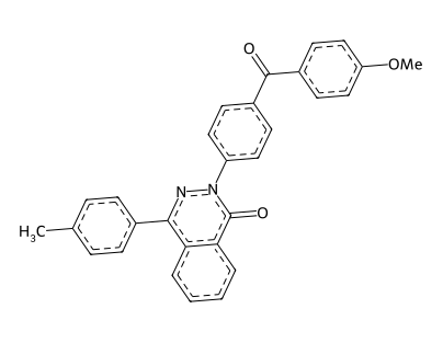 COc1ccc(C(=O)c2ccc(-n3nc(-c4ccc(C)cc4)c4ccccc4c3=O)cc2)cc1